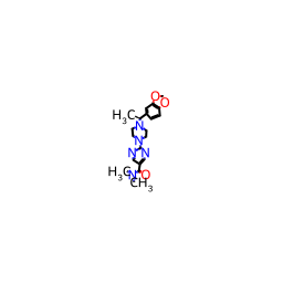 C[C@@H](c1ccc2c(c1)OCO2)N1CCN(c2ncc(C(=O)N(C)C)cn2)CC1